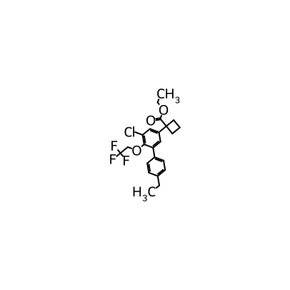 CCOC(=O)C1(c2cc(Cl)c(OCC(F)(F)F)c(-c3ccc(CC)cc3)c2)CCC1